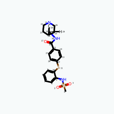 CS(=O)(=O)Nc1ccccc1Sc1ccc(C(=O)N[C@H]2CN3CCC2CC3)cc1